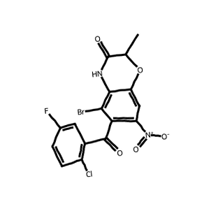 CC1Oc2cc([N+](=O)[O-])c(C(=O)c3cc(F)ccc3Cl)c(Br)c2NC1=O